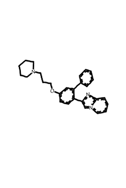 c1ccc(-c2cc(OCCCN3CCCCC3)ccc2-c2cn3ccccc3n2)cc1